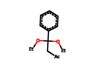 CCOC(CC(C)=O)(OCC)c1ccccc1